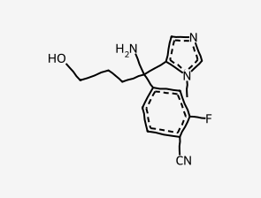 Cn1cncc1C(N)(CCCO)c1ccc(C#N)c(F)c1